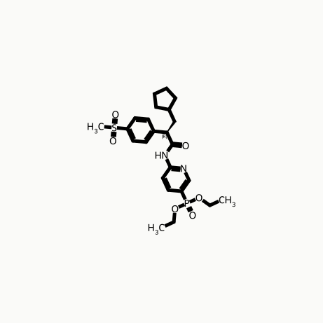 CCOP(=O)(OCC)c1ccc(NC(=O)[C@H](CC2CCCC2)c2ccc(S(C)(=O)=O)cc2)nc1